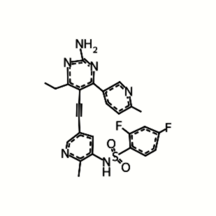 CCc1nc(N)nc(-c2ccc(C)nc2)c1C#Cc1cnc(C)c(NS(=O)(=O)c2ccc(F)cc2F)c1